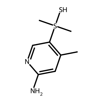 Cc1cc(N)ncc1S(C)(C)S